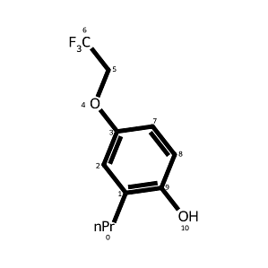 CCCc1cc(OCC(F)(F)F)ccc1O